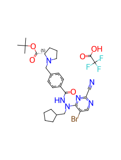 CC(C)(C)OC(=O)[C@@H]1CCCN1Cc1ccc(C(=O)NN(CC2CCCC2)c2nc(C#N)ncc2Br)cc1.O=C(O)C(F)(F)F